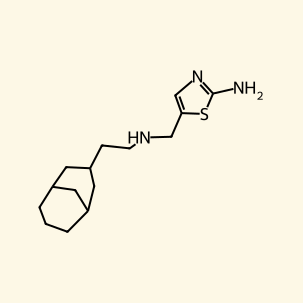 Nc1ncc(CNCCC2CC3CCCC(C3)C2)s1